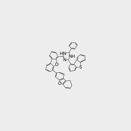 C1=Cc2oc3cc(-c4cccc5c4oc4c(C6=NC(c7cccc8sc9ccccc9c78)NC(c7ccccc7)N6)cccc45)ccc3c2CC1